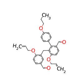 C=CCOc1ccc(C=O)cc1Cc1c(OCC=C)ccc(C=O)c1-c1ccc(OCCC)cc1